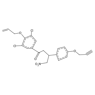 C#CCOc1ccc(C(CC(=O)c2cc(Cl)c(OCC=C)c(Cl)c2)C[N+](=O)[O-])cc1